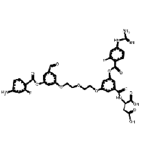 N=C(N)Nc1ccc(C(=O)Oc2cc(OCCOCCOc3cc(C=O)cc(OC(=O)c4ccc(N)cc4F)c3)cc(C(=O)N[C@H](CC(=O)O)C(=O)O)c2)c(F)c1